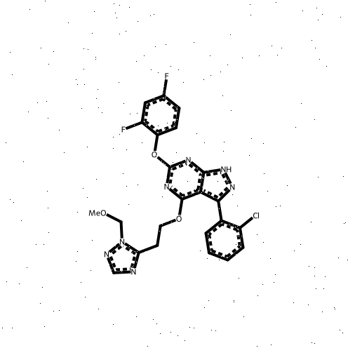 COCn1ncnc1CCOc1nc(Oc2ccc(F)cc2F)nc2[nH]nc(-c3ccccc3Cl)c12